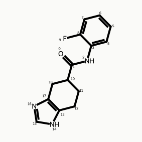 O=C(Nc1ccccc1F)C1CCc2[nH]cnc2C1